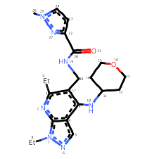 CCc1nc2c(cnn2CC)c(NC2CCOCC2)c1CNC(=O)c1ccn(C)n1